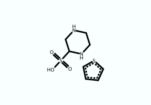 O=S(=O)(O)C1CNCCN1.c1ccsc1